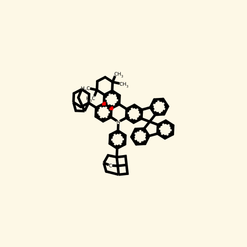 CC1(C)CCC(C)(C)c2cc(-c3cc4c(cc3N(c3ccc(C56CC7CC(CC5C7)C6)cc3)c3ccc(C56CC7CC8CC(C5)C86C7)cc3)C3(c5ccccc5-c5ccccc53)c3ccccc3-4)ccc21